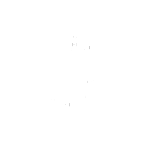 CC(C)(C)c1cc(/C=C/C(=O)CO[PH](=O)O)cc(C(C)(C)C)c1O.CCCC